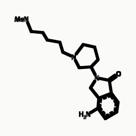 CNCCCCCN1CCCC(N2Cc3c(N)cccc3C2=O)C1